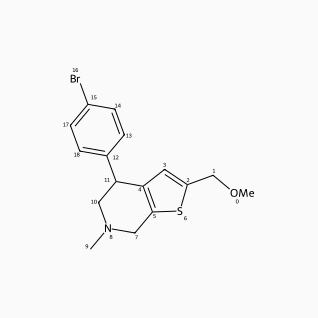 COCc1cc2c(s1)CN(C)CC2c1ccc(Br)cc1